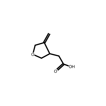 C=C1COCC1CC(=O)O